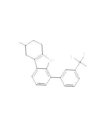 OC1CCc2[nH]c3c(-c4cccc(C(F)(F)F)c4)cccc3c2C1